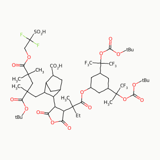 CCC(C)(C(=O)OC1CC(C(C)(OC(=O)OC(C)(C)C)C(F)(F)F)CC(C(OC(=O)OC(C)(C)C)(C(F)(F)F)C(F)(F)F)C1)C1C(=O)OC(=O)C1C1C2CC(C(=O)O)C(C2)C1CC(C)(CC(C)(C)C(=O)OCC(F)(F)S(=O)(=O)O)C(=O)OC(C)(C)C